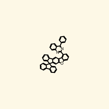 c1ccc(-c2nc(-c3cccc4oc5cc6c(cc5c34)-c3ccccc3C63c4ccccc4-c4ccccc43)nc3ccccc23)cc1